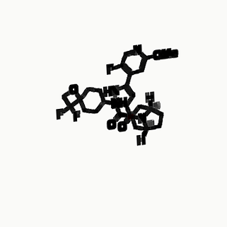 COc1cc(-c2cc(C(=O)N3[C@@H]4CC[C@H]3C[C@H](C(=O)NC3CCC5(CC3)OCC5(F)F)C4)n[nH]2)c(F)cn1